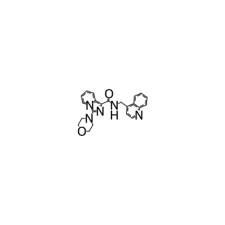 O=C(NCc1ccnc2ccccc12)c1nc(N2CCOCC2)n2ccccc12